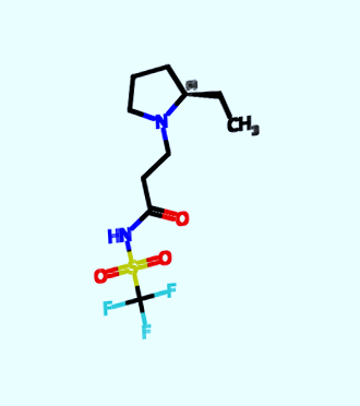 CC[C@@H]1CCCN1CCC(=O)NS(=O)(=O)C(F)(F)F